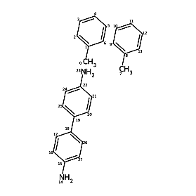 Cc1ccccc1.Cc1ccccc1.Nc1ccc(-c2ccc(N)cc2)cc1